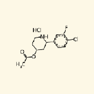 CC(=O)OC1CCNC(c2ccc(Cl)c(F)c2)C1.Cl